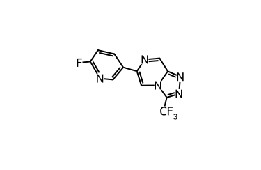 Fc1ccc(-c2cn3c(C(F)(F)F)nnc3cn2)cn1